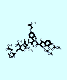 CO[C@@]1(NC(=O)C(NC(=O)c2coc3c(OC(C)=O)c(OC(C)=O)ccc3c2=O)c2ccc(OCC(=O)O)cc2)C(=O)N2C(C(=O)O)=C(CSc3nnnn3CC(=O)O)CS[C@H]21